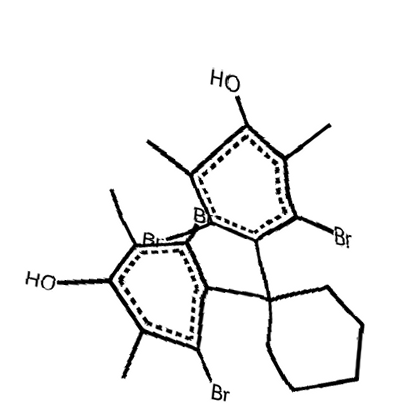 Cc1c(O)c(C)c(Br)c(C2(c3c(Br)c(C)c(O)c(C)c3Br)CCCCC2)c1Br